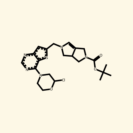 CC(C)(C)OC(=O)N1CC2=CN(Cc3cc4ncnc(N5CCOC(Cl)C5)c4s3)CC2C1